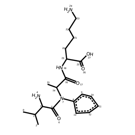 CC(C)C(N)C(=O)N(c1ccccc1)C(C)C(=O)NC(CCCCN)C(=O)O